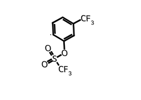 O=S(=O)(Oc1[c]ccc(C(F)(F)F)c1)C(F)(F)F